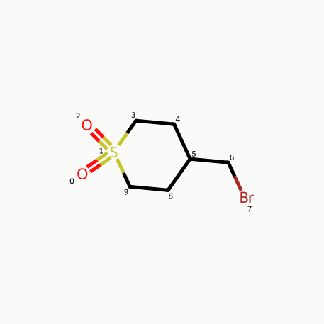 O=S1(=O)CCC(CBr)CC1